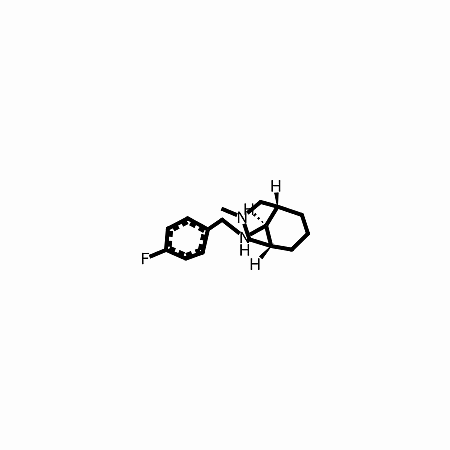 CN1C[C@H]2CCC[C@@H](C1)[C@@H]2NCc1ccc(F)cc1